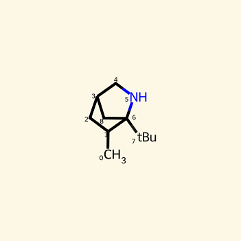 CC1CC2CNC1(C(C)(C)C)C2